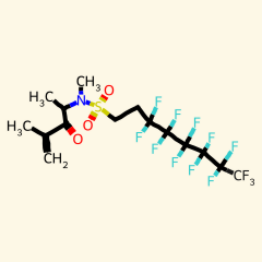 C=C(C)C(=O)C(C)N(C)S(=O)(=O)CCC(F)(F)C(F)(F)C(F)(F)C(F)(F)C(F)(F)C(F)(F)F